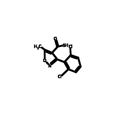 Cc1onc(-c2c(Cl)cccc2Cl)c1C(=O)S